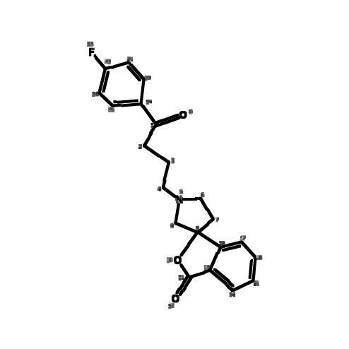 O=C(CCCN1CCC2(C1)OC(=O)c1ccccc12)c1ccc(F)cc1